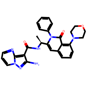 C[C@H](NC(=O)c1c(N)nn2cccnc12)c1cc2cccc(N3CCOCC3)c2c(=O)n1-c1ccccc1